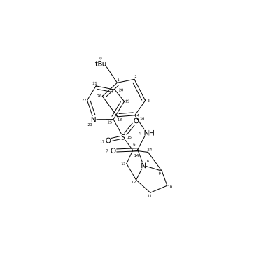 CC(C)(C)c1ccc(NC(=O)N2C3CCC2CC(S(=O)(=O)c2ccccn2)C3)cc1